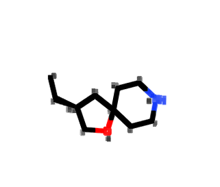 CC[C@@H]1COC2(CCNCC2)C1